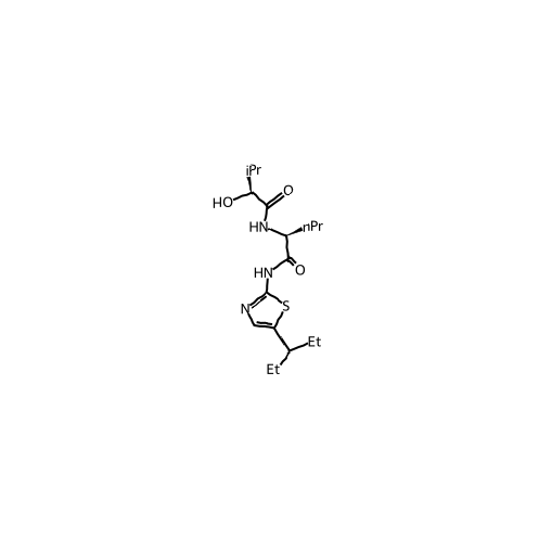 CCC[C@H](NC(=O)[C@@H](O)C(C)C)C(=O)Nc1ncc(C(CC)CC)s1